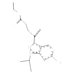 C=C(CCC(=O)OCC)c1nn(C(C)C)c2cc(Cl)ncc12